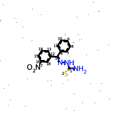 NC(=S)N/N=C(\c1ccccc1)c1cccc([N+](=O)[O-])c1